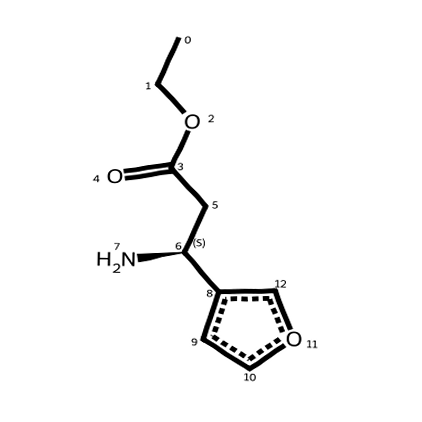 CCOC(=O)C[C@H](N)c1ccoc1